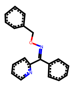 c1ccc(CON=C(c2ccccc2)c2ccccn2)cc1